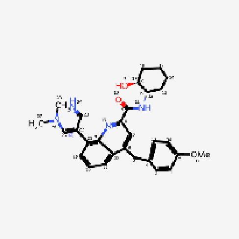 COc1ccc(Cc2cc(C(=O)N[C@H]3CCCC[C@@H]3O)nc3c(/C(C=N)=C/N(C)C)cccc23)cc1